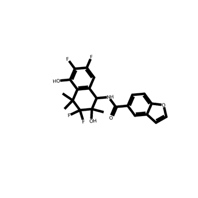 CC1(C)c2c(cc(F)c(F)c2O)C(NC(=O)c2ccc3occc3c2)C(C)(O)C1(F)F